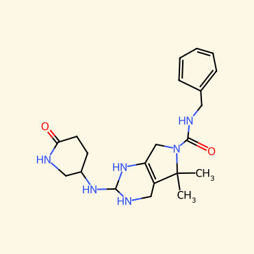 CC1(C)C2=C(CN1C(=O)NCc1ccccc1)NC(NC1CCC(=O)NC1)NC2